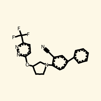 N#Cc1cc(-c2ccccc2)ccc1N1CCC(Oc2ccc(C(F)(F)F)nn2)C1